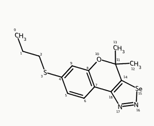 CCCSc1ccc2c(c1)OC(C)(C)c1[se]nnc1-2